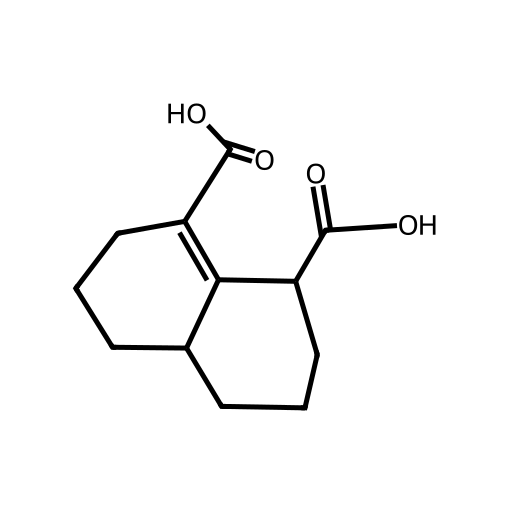 O=C(O)C1=C2C(CCC1)CCCC2C(=O)O